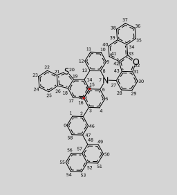 c1cc(-c2ccc(N(c3ccccc3-c3cccc4c3sc3ccccc34)c3cccc4oc5c6ccccc6ccc5c34)cc2)cc(-c2cccc3ccccc23)c1